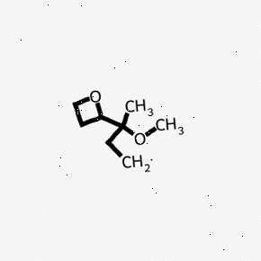 [CH2]CC(C)(OC)C1CCO1